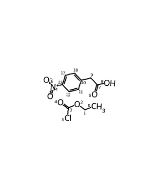 CCOC(=O)Cl.O=C(O)Cc1ccc([N+](=O)[O-])cc1